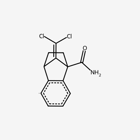 NC(=O)C12CCC(C1=C(Cl)Cl)c1[c]cccc12